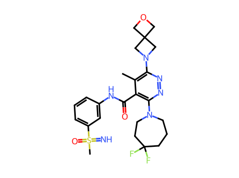 Cc1c(N2CC3(COC3)C2)nnc(N2CCCC(F)(F)CC2)c1C(=O)Nc1cccc(S(C)(=N)=O)c1